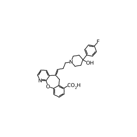 O=C(O)c1cccc2c1CC(=CCCN1CCC(O)(c3ccc(F)cc3)CC1)c1cccnc1O2